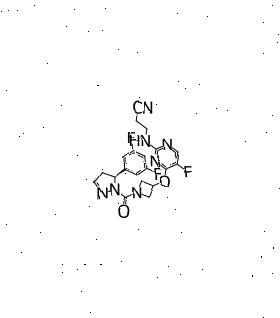 N#CCCNc1ncc(F)c(OC2CN(C(=O)N3N=CC[C@H]3c3cc(F)cc(F)c3)C2)n1